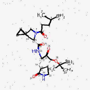 BC(C)CCC(=O)N1CC2(CC2)C[C@H]1C(=O)N[C@@H](C[C@@H]1CCNC1=O)C(=O)COC(B)(C)C